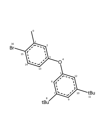 Cc1cc(Oc2cc(C(C)(C)C)cc(C(C)(C)C)c2)ccc1Br